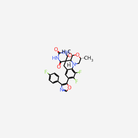 C[C@@H]1CN2c3c(cc(-c4ocnc4-c4ccc(F)cc4)c(F)c3F)CC3(C(=O)NC(=O)NC3=O)[C@H]2[C@H](C)O1